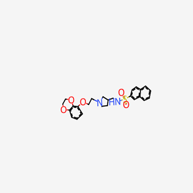 O=S(=O)(NCC1CCN(CCOc2cccc3c2OCCO3)C1)c1ccc2ccccc2c1